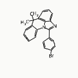 CC1(C)c2ccccc2-n2c(-c3ccc(Br)cc3)nc3cccc1c32